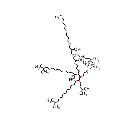 CCCCCCCCCCCC(O)CN(CCSCC[Si](C)(C)O[Si](C)(C)CCSCCN(CC(O)CCCCCCCCCC(C)C)CC(O)CCCCCCCCCC(C)C)CC(O)CCCCCCCCCC(C)C